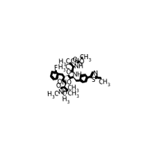 CCc1ncc(-c2ccc(C[C@H](NC(=O)[C@@H](NC(=O)OC)C(C)(C)C)[C@@H](O)C[C@@H](Cc3ccccc3F)C(=O)C[C@H](C(=O)NC)C(C)(C)C)cc2)s1